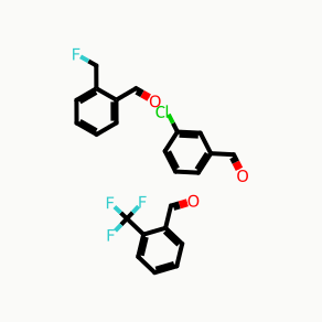 O=Cc1cccc(Cl)c1.O=Cc1ccccc1C(F)(F)F.O=Cc1ccccc1CF